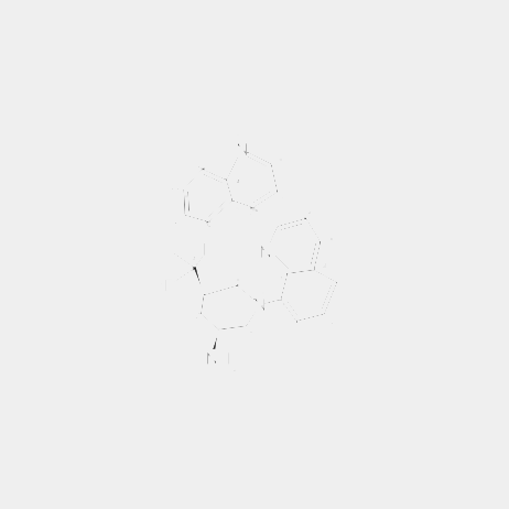 N[C@H]1C[C@@H](C(F)(F)F)CN(c2cccc3cccnc23)C1.c1ccc2ncccc2c1